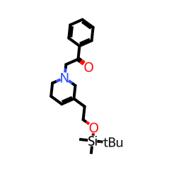 CC(C)(C)[Si](C)(C)OCCC1=CCCN(CC(=O)c2ccccc2)C1